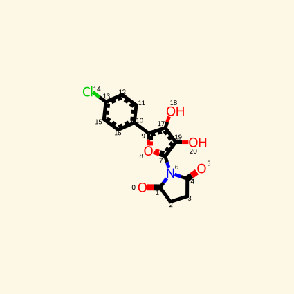 O=C1CCC(=O)N1c1oc(-c2ccc(Cl)cc2)c(O)c1O